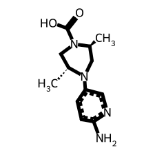 C[C@@H]1CN(C(=O)O)[C@@H](C)CN1c1ccc(N)nc1